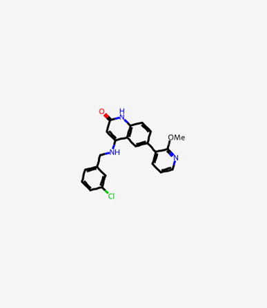 COc1ncccc1-c1ccc2[nH]c(=O)cc(NCc3cccc(Cl)c3)c2c1